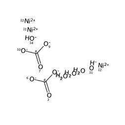 O.O.O.O=C([O-])[O-].O=C([O-])[O-].[Ni+2].[Ni+2].[Ni+2].[OH-].[OH-]